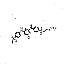 C=CS(=O)(=O)c1ccc(Nc2nc(Cl)nc(Nc3ccc(S(=O)(=O)CCOS(=O)(=O)O)cc3)n2)cc1